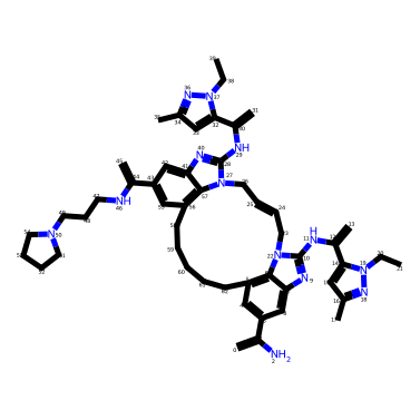 C=C(N)c1cc2c3c(c1)nc(NC(=C)c1cc(C)nn1CC)n3C/C=C/Cn1c(NC(=C)c3cc(C)nn3CC)nc3cc(C(=C)NCCCN4CCCC4)cc(c31)CCCCC2